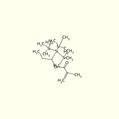 C=C(C)C(=O)OC(CC)[Si]([Si](C)(C)C)([Si](C)(C)C)[Si](C)(C)C